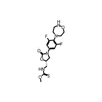 COC(=S)NC[C@H]1CN(c2cc(F)c(N3CCNOCC3)c(F)c2)C(=O)O1